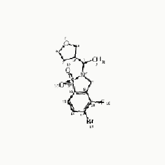 CC(C1CCOC1)N1Cc2c(ccc(Br)c2F)S1(=O)=O